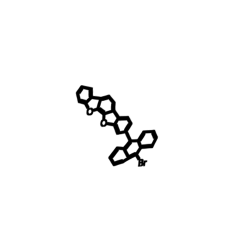 Brc1c2ccccc2c(-c2ccc3c(c2)oc2c3ccc3c4ccccc4oc32)c2ccccc12